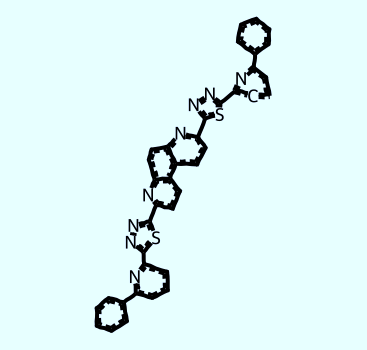 c1ccc(-c2cccc(-c3nnc(-c4ccc5c(ccc6nc(-c7nnc(-c8cccc(-c9ccccc9)n8)s7)ccc65)n4)s3)n2)cc1